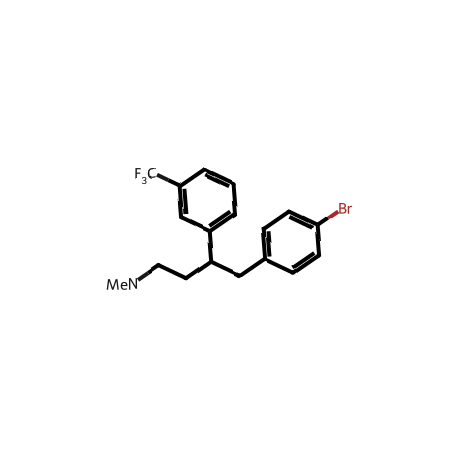 CNCCC(Cc1ccc(Br)cc1)c1cccc(C(F)(F)F)c1